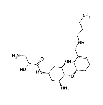 NCCCNCC1=CCC[C@@H](O[C@H]2[C@H](O)C[C@H](NC(=O)[C@H](O)CN)C[C@@H]2N)O1